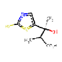 CC(C(=O)O)[C@](O)(c1cnc(S)s1)C(F)(F)F